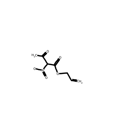 C=CCOC(=O)C(C(C)=O)[N+](=O)[O-]